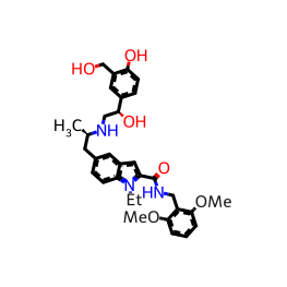 CCn1c(C(=O)NCc2c(OC)cccc2OC)cc2cc(C[C@@H](C)NC[C@H](O)c3ccc(O)c(CO)c3)ccc21